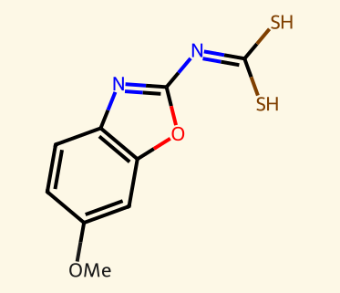 COc1ccc2nc(N=C(S)S)oc2c1